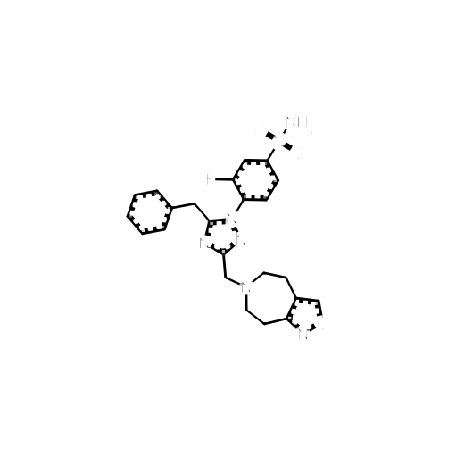 NS(=O)(=O)c1ccc(-n2nc(CN3CCc4conc4CC3)nc2Cc2ccccc2)c(F)c1